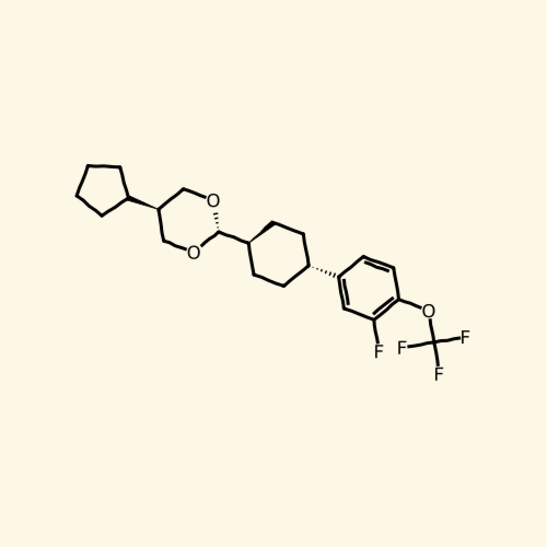 Fc1cc([C@H]2CC[C@H]([C@H]3OC[C@H](C4CCCC4)CO3)CC2)ccc1OC(F)(F)F